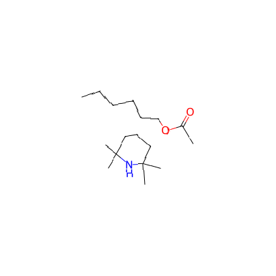 CC1(C)CCCC(C)(C)N1.CCCCCCOC(C)=O